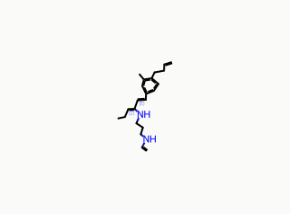 C=CCCc1ccc(/C=C/C(=C/CC)NCCCNC=C)cc1C